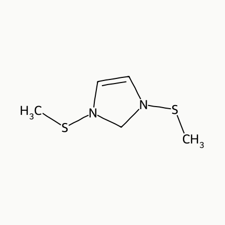 CSN1C=CN(SC)C1